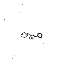 OC(C=Cc1ccccc1)CN1CCOCC1